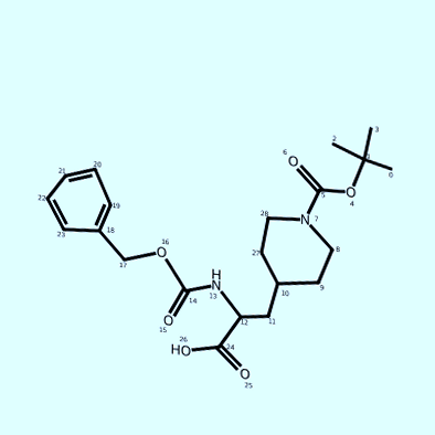 CC(C)(C)OC(=O)N1CCC(CC(NC(=O)OCc2ccccc2)C(=O)O)CC1